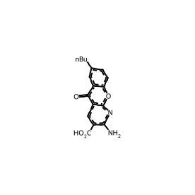 CCCCc1ccc2oc3nc(N)c(C(=O)O)cc3c(=O)c2c1